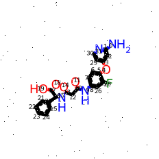 Nc1cc(Oc2ccc(NC(=O)CC(=O)N[C@H](C(=O)O)c3ccccc3)cc2F)ccn1